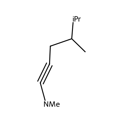 CNC#CCC(C)C(C)C